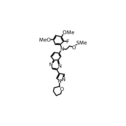 COc1cc(OC)c(F)c(N(CCOSC)c2ccc3ncc(-c4cnn(C5CCCCO5)c4)nc3c2)c1